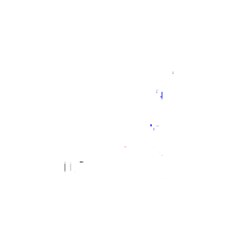 CCC1COc2c(cccc2N2CCN(CC)CC2)O1